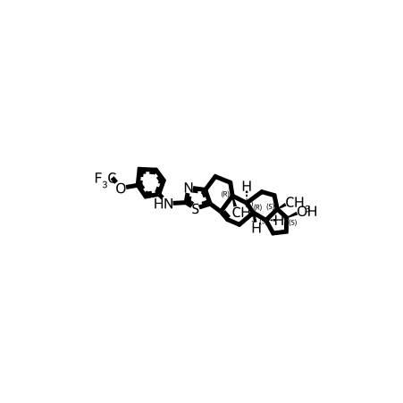 C[C@]12CC[C@H]3[C@@H](CC=C4c5sc(Nc6cccc(OC(F)(F)F)c6)nc5CC[C@@]43C)[C@@H]1CC[C@@H]2O